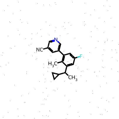 Cc1c(-c2cncc(C#N)c2)cc(F)cc1C(C)C1CC1